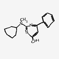 CN(c1nc(O)cc(-c2ccccc2)n1)C1CCCCC1